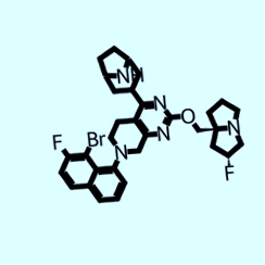 Fc1ccc2cccc(N3CCc4c(nc(OC[C@@]56CCCN5C[C@H](F)C6)nc4C4CC5CCC(C4)N5)C3)c2c1Br